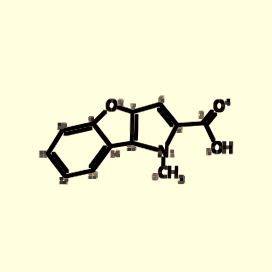 Cn1c(C(=O)O)cc2oc3ccccc3c21